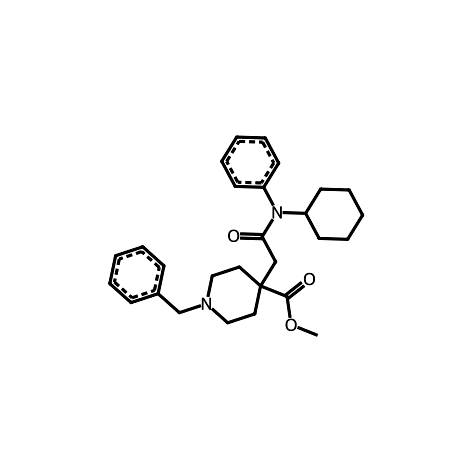 COC(=O)C1(CC(=O)N(c2ccccc2)C2CCCCC2)CCN(Cc2ccccc2)CC1